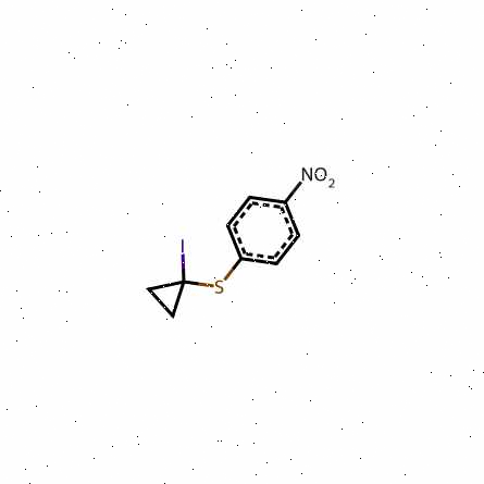 O=[N+]([O-])c1ccc(SC2(I)CC2)cc1